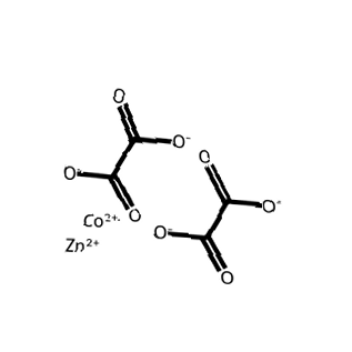 O=C([O-])C(=O)[O-].O=C([O-])C(=O)[O-].[Co+2].[Zn+2]